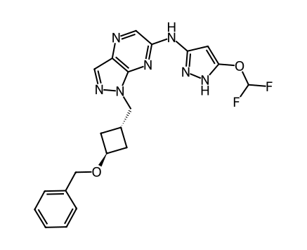 FC(F)Oc1cc(Nc2cnc3cnn(C[C@H]4C[C@H](OCc5ccccc5)C4)c3n2)n[nH]1